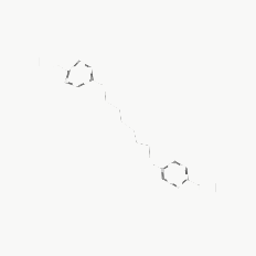 Cc1ccc(SCCCCCCSc2ccc(C)cc2)cc1